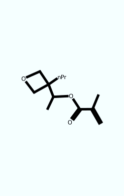 C=C(C)C(=O)OC(C)C1(CCC)COC1